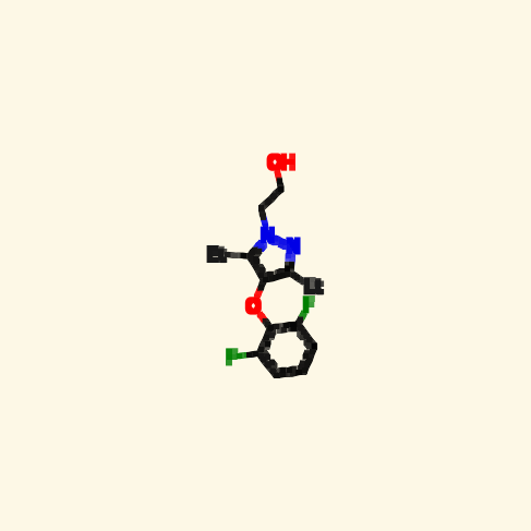 CCc1nn(CCO)c(CC)c1Oc1c(F)cccc1F